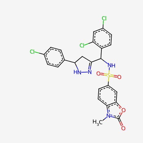 Cn1c(=O)oc2cc(S(=O)(=O)NC(C3=NNC(c4ccc(Cl)cc4)C3)c3ccc(Cl)cc3Cl)ccc21